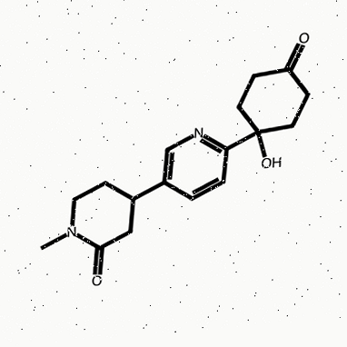 CN1CCC(c2ccc(C3(O)CCC(=O)CC3)nc2)CC1=O